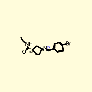 CCNC(=O)[C@H]1CC[C@@H](/N=C/c2ccc(Br)cc2)C1